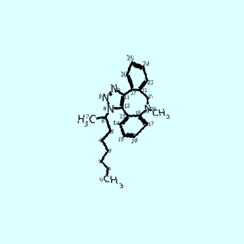 CCCCCCC(C)n1nnc2c1-c1ccccc1N(C)Cc1ccccc1-2